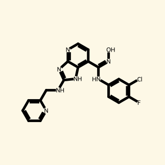 O/N=C(/Nc1ccc(F)c(Cl)c1)c1ccnc2nc(NCc3ccccn3)[nH]c12